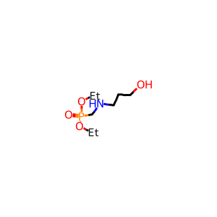 CCOP(=O)(CNCCCO)OCC